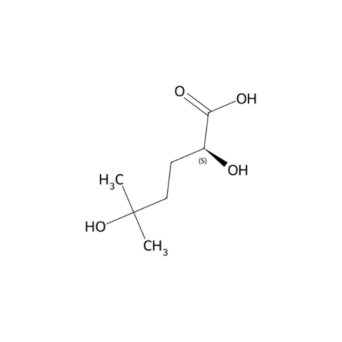 CC(C)(O)CC[C@H](O)C(=O)O